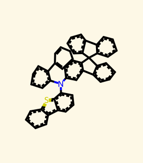 C1=CC(c2ccccc2N(c2ccc3c(c2)-c2ccccc2C32c3ccccc3-c3ccccc32)c2cccc3c2sc2ccccc23)=CCC1